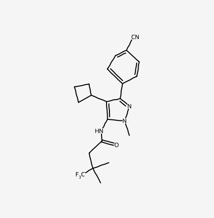 Cn1nc(-c2ccc(C#N)cc2)c(C2CCC2)c1NC(=O)CC(C)(C)C(F)(F)F